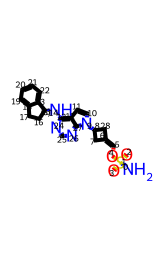 NS(=O)(=O)OC=C1CC(n2ccc3c(N[C@H]4CCc5ccccc54)ncnc32)C1